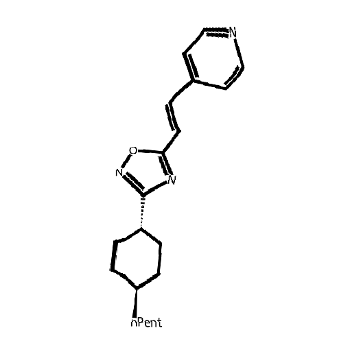 CCCCC[C@H]1CC[C@H](c2noc(/C=C/c3ccncc3)n2)CC1